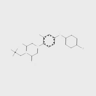 CC1CN(c2ccc(NC3CCC(N)CC3)cc2F)CC(C)N1CC(F)(F)F